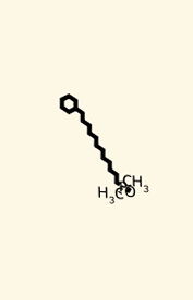 CP(C)(=O)CCCCCCCCCCCCC1CCCCC1